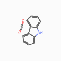 [O]=[Ti]=[O].c1ccc2c(c1)[nH]c1ccccc12